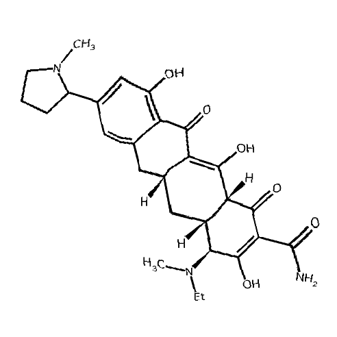 CCN(C)[C@@H]1C(O)=C(C(N)=O)C(=O)[C@H]2C(O)=C3C(=O)c4c(O)cc(C5CCCN5C)cc4C[C@H]3C[C@H]21